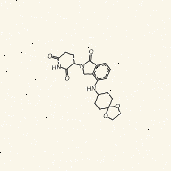 O=C1CCC(N2Cc3c(NC4CCC5(CC4)OCCO5)cccc3C2=O)C(=O)N1